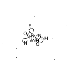 C[C@H](Nc1ncnc2[nH]ccc(=O)c12)c1nc2ccc(F)cc2c(=O)n1-c1cccnc1